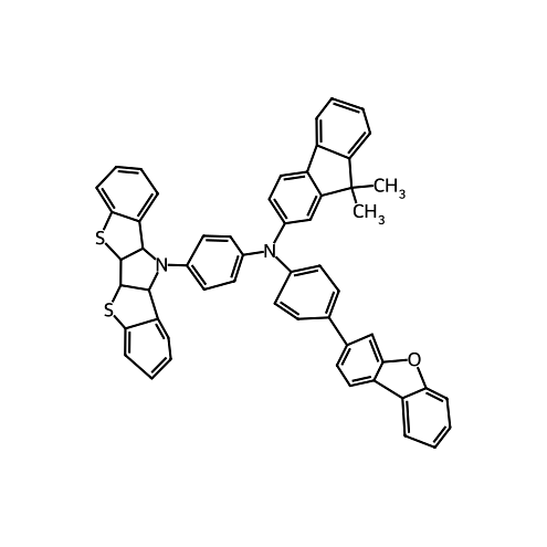 CC1(C)c2ccccc2-c2ccc(N(c3ccc(-c4ccc5c(c4)oc4ccccc45)cc3)c3ccc(N4C5c6ccccc6SC5C5Sc6ccccc6C54)cc3)cc21